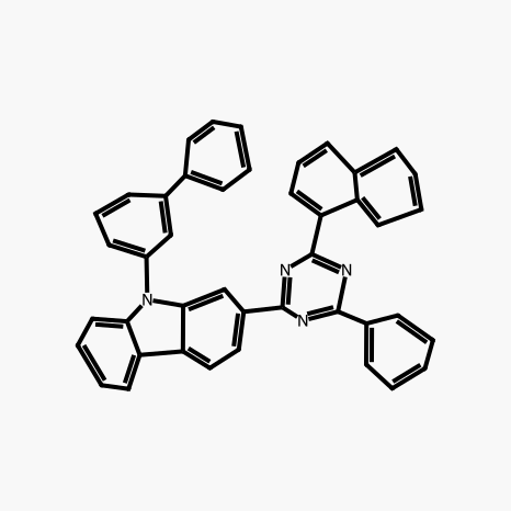 c1ccc(-c2cccc(-n3c4ccccc4c4ccc(-c5nc(-c6ccccc6)nc(-c6cccc7ccccc67)n5)cc43)c2)cc1